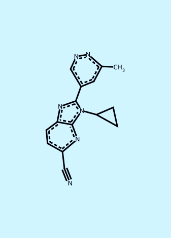 Cc1cc(-c2nc3ccc(C#N)nc3n2C2CC2)cnn1